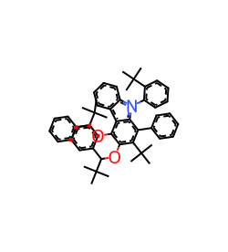 CC(C)(C)c1ccccc1-n1c2ccccc2c2c(OC(c3ccccc3)C(C)(C)C)c(OC(c3ccccc3)C(C)(C)C)c(C(C)(C)C)c(-c3ccccc3)c21